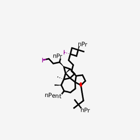 CCCCCC1CCC2(C(CCC[C@]3(I)C[C@](C)(CCC)C3)CCC23CC(CC(C)(C)CCC)C3)C23CC4[C@H](C(CCC)CCI)[C@]42[C@]3(C)[C@@H]1C